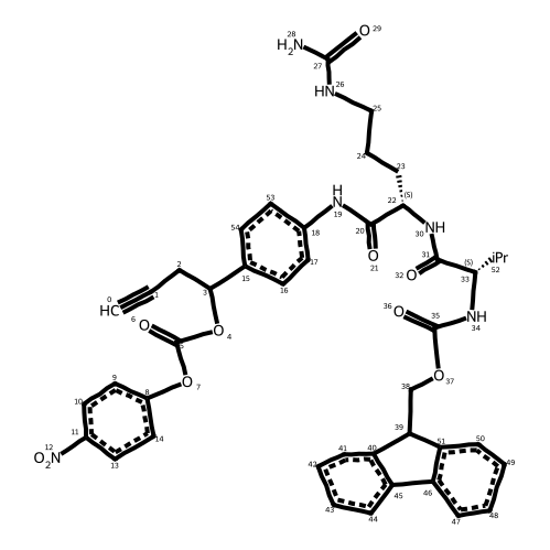 C#CCC(OC(=O)Oc1ccc([N+](=O)[O-])cc1)c1ccc(NC(=O)[C@H](CCCNC(N)=O)NC(=O)[C@@H](NC(=O)OCC2c3ccccc3-c3ccccc32)C(C)C)cc1